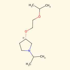 CC(C)OCCO[C@H]1CCN(C(C)C)C1